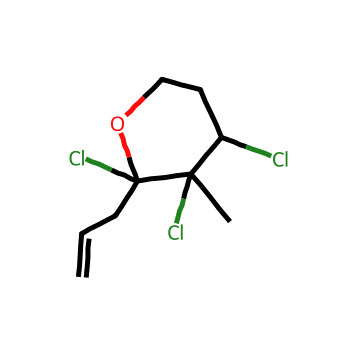 C=CCC1(Cl)OCCC(Cl)C1(C)Cl